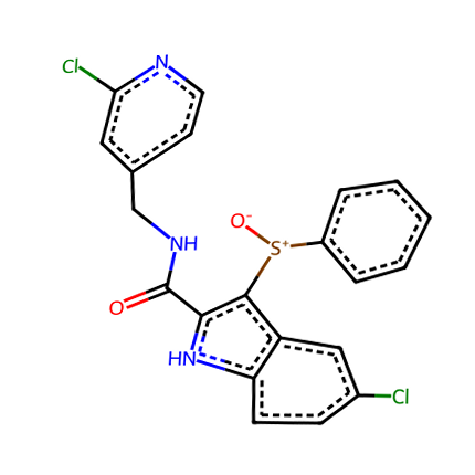 O=C(NCc1ccnc(Cl)c1)c1[nH]c2ccc(Cl)cc2c1[S+]([O-])c1ccccc1